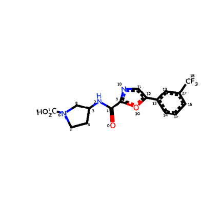 O=C(NC1CCN(C(=O)O)C1)c1ncc(-c2cccc(C(F)(F)F)c2)o1